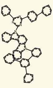 c1ccc(-c2ccc(-c3nc(-c4ccccc4)nc(-n4c5ccccc5c5c6c7ccccc7n(-c7ccccc7-c7cc(-c8ccccc8)cc(-c8ccccc8)c7)c6ccc54)n3)cc2)cc1